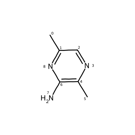 Cc1cnc(C)c(N)n1